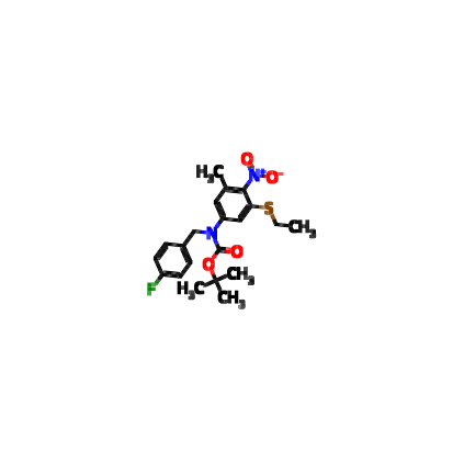 CCSc1cc(N(Cc2ccc(F)cc2)C(=O)OC(C)(C)C)cc(C)c1[N+](=O)[O-]